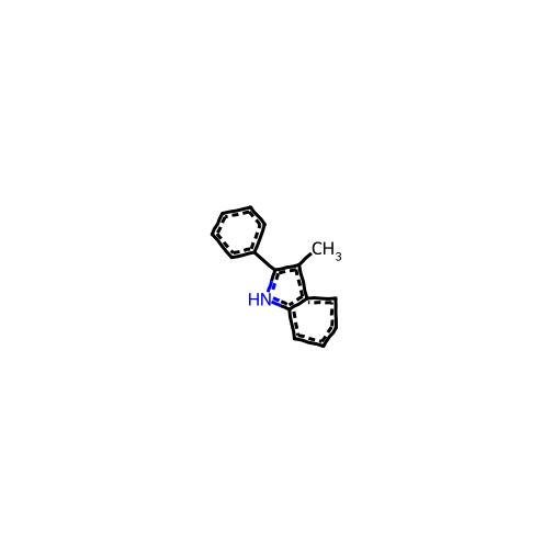 Cc1c(-c2ccccc2)[nH]c2ccccc12